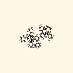 c1ccc(-c2nc(-c3ccccc3)nc(N3c4ccccc4-c4ccccc4-c4cc(-c5ccc6c(c5)-c5ccccc5-c5ccccc5N6c5ccccc5)ccc43)n2)cc1